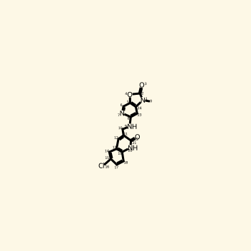 Cn1c(=O)oc2cnc(NCc3cc4cc(Cl)ccc4[nH]c3=O)cc21